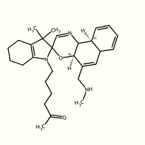 CNCC1=CC2C=CC=C[C@@H]2C2N=CC3(O[C@H]12)N(CCCCC(C)=O)C1=C(CCCC1)C3(C)C